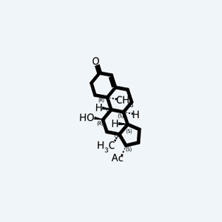 CC(=O)[C@H]1CC[C@H]2[C@@H]3CCC4=CC(=O)CC[C@]4(C)[C@H]3[C@H](O)C[C@]12C